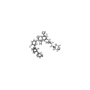 Cc1ccc(C(=O)Nc2cc(CNCCN3CCOCC3)cc(C(F)(F)F)c2)cc1-n1cc(-c2cncs2)nn1